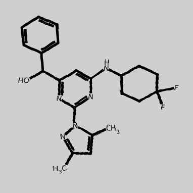 Cc1cc(C)n(-c2nc(NC3CCC(F)(F)CC3)cc(C(O)c3ccccc3)n2)n1